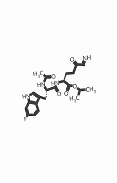 CC(=O)N[C@@H](Cc1c[nH]c2cc(F)ccc12)C(=O)N[C@@H](CCC(=O)C=N)C(=O)OC(C)C